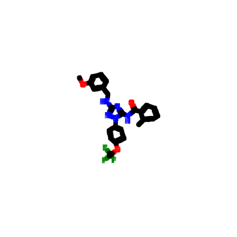 COc1cccc(CNc2nc(NC(=O)c3ccccc3C)n(-c3ccc(OC(F)(F)F)cc3)n2)c1